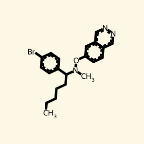 CCCCCC(c1ccc(Br)cc1)N(C)Oc1ccc2cnncc2c1